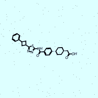 O=C(O)C[C@H]1CC[C@H](c2ccc(C(=O)Nc3nnc(C4CC(c5ccccc5)C4)s3)cc2)CC1